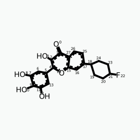 O=c1c(O)c(-c2cc(O)c(O)c(O)c2)oc2cc(C3CCC(F)CC3)ccc12